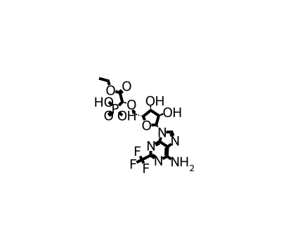 CCOC(=O)[C@H](OC[C@H]1O[C@@H](n2cnc3c(N)nc(C(F)(F)F)nc32)[C@H](O)[C@H]1O)P(=O)(O)O